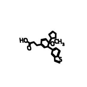 COC1(C2CCCC2)C=CC(CCC(=O)O)=CC1c1ccc2sccc2c1